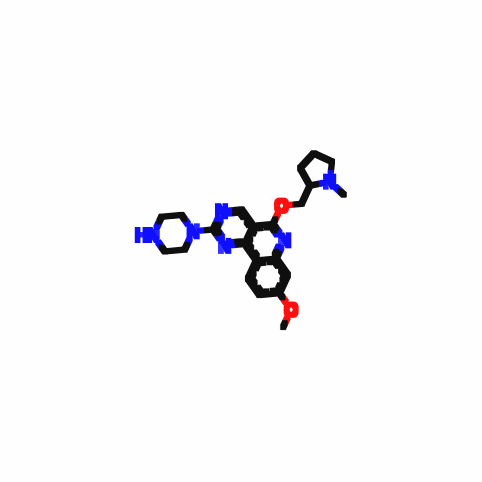 COc1ccc2c(c1)nc(OCC1CCCN1C)c1cnc(N3CCNCC3)nc12